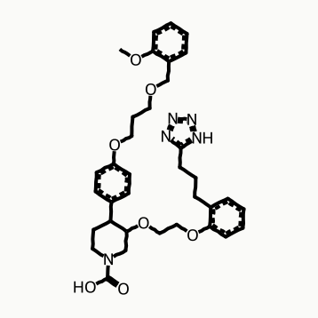 COc1ccccc1COCCCOc1ccc(C2CCN(C(=O)O)CC2OCCOc2ccccc2CCCc2nnn[nH]2)cc1